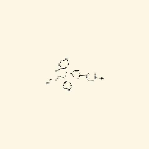 CC(C)N1CCN(c2ccc(C(c3ccccc3O)C(CCCO)c3ccccc3)cc2)CC1